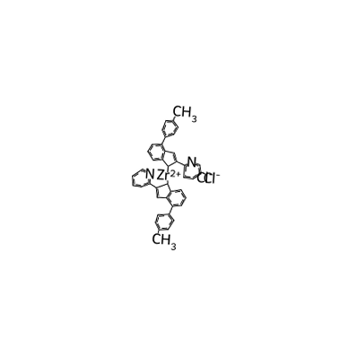 Cc1ccc(-c2cccc3c2C=C(c2ccccn2)[CH]3[Zr+2][CH]2C(c3ccccn3)=Cc3c(-c4ccc(C)cc4)cccc32)cc1.[Cl-].[Cl-]